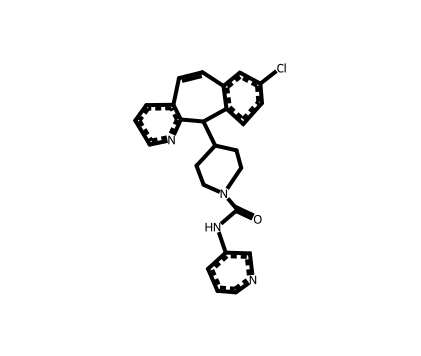 O=C(Nc1cccnc1)N1CCC(C2c3ccc(Cl)cc3C=Cc3cccnc32)CC1